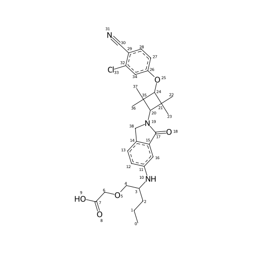 CCCC(COCC(=O)O)Nc1ccc2c(c1)C(=O)N(C1C(C)(C)C(Oc3ccc(C#N)c(Cl)c3)C1(C)C)C2